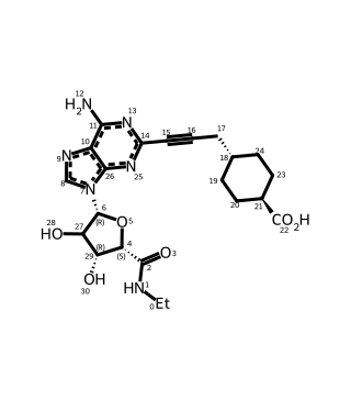 CCNC(=O)[C@H]1O[C@@H](n2cnc3c(N)nc(C#CC[C@H]4CC[C@H](C(=O)O)CC4)nc32)C(O)[C@H]1O